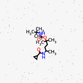 CC(CCC(C)(C)OC(=O)NC(C)(C)C)NC(=O)C1CC1